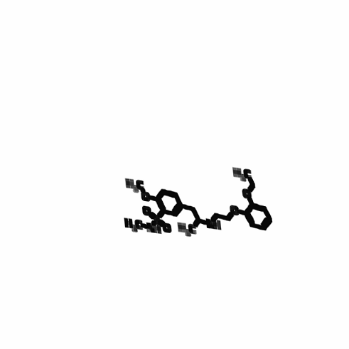 CCOc1ccccc1OCCNC(C)Cc1ccc(OC)c(S(=O)(=O)NC)c1